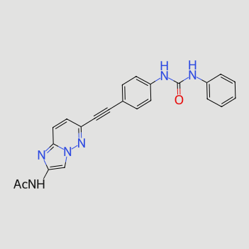 CC(=O)Nc1cn2nc(C#Cc3ccc(NC(=O)Nc4ccccc4)cc3)ccc2n1